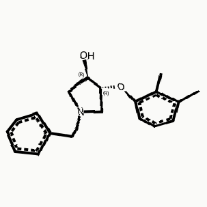 Cc1cccc(O[C@@H]2CN(Cc3ccccc3)C[C@H]2O)c1C